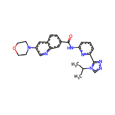 CC(C)n1cnnc1-c1cccc(NC(=O)c2ccc3cc(N4CCOCC4)cnc3c2)n1